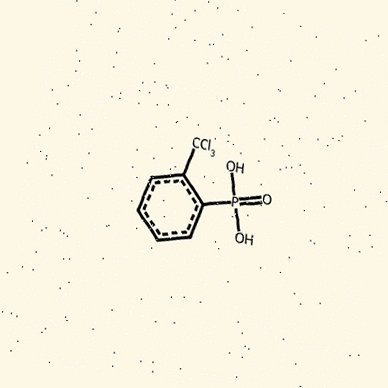 O=P(O)(O)c1ccccc1C(Cl)(Cl)Cl